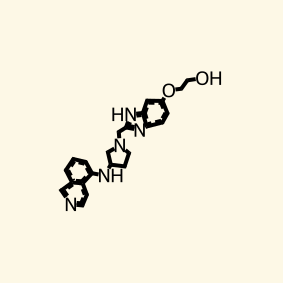 OCCOc1ccc2nc(CN3CCC(Nc4cccc5cnccc45)C3)[nH]c2c1